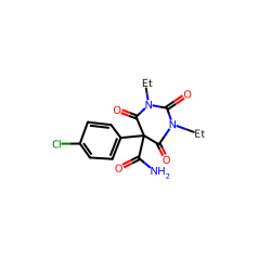 CCN1C(=O)N(CC)C(=O)C(C(N)=O)(c2ccc(Cl)cc2)C1=O